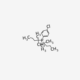 CCCC(C)(C)P(c1ccc(Cl)cc1)C(C)(C)CCC